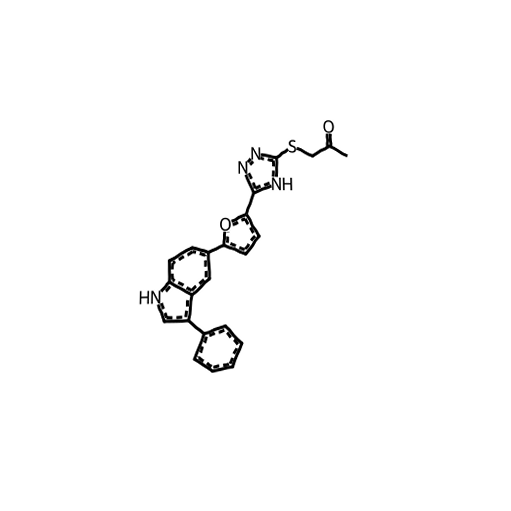 CC(=O)CSc1nnc(-c2ccc(-c3ccc4[nH]cc(-c5ccccc5)c4c3)o2)[nH]1